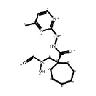 Cc1ccnc(NNC(=O)C2(CN(O)C=O)CCCCCC2)n1